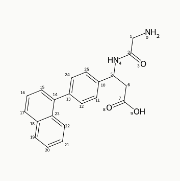 NCC(=O)NC(CC(=O)O)c1ccc(-c2cccc3ccccc23)cc1